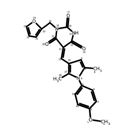 COc1ccc(-n2c(C)cc(C=C3C(=O)NC(=O)N(Cc4ccco4)C3=O)c2C)cc1